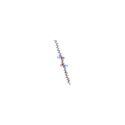 CCCCCCCCCCCCCCNC(=O)CCCCC(=O)NCCCCCCCCCCCCCC